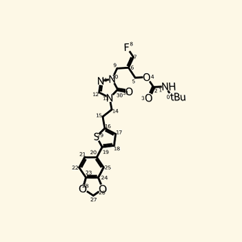 CC(C)(C)NC(=O)OC/C(=C/F)Cn1ncn(CCc2ccc(-c3ccc4c(c3)OCO4)s2)c1=O